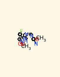 COC(=O)N[C@H]1CCC[C@@H]1C(CN1CCC1)(c1cccc(F)c1)C1CCN(C[C@@H]2CCN(c3ccc(C#N)c(OC)c3)C2)CC1